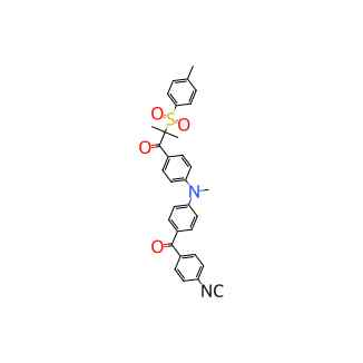 [C-]#[N+]c1ccc(C(=O)c2ccc(N(C)c3ccc(C(=O)C(C)(C)S(=O)(=O)c4ccc(C)cc4)cc3)cc2)cc1